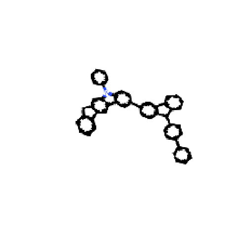 c1ccc(-c2ccc(C3c4ccccc4-c4cc(-c5ccc6c(c5)c5cc7c(cc5n6-c5ccccc5)Cc5ccccc5-7)ccc43)cc2)cc1